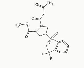 COC(=O)C1CC(S(=O)(=O)c2ccccc2C(F)(F)F)CN1C(=O)CC(C)=O